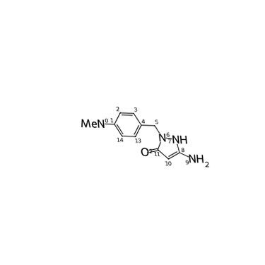 CNc1ccc(Cn2[nH]c(N)cc2=O)cc1